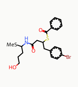 CSC(CCCO)NC(=O)CC(Cc1ccc(Br)cc1)SC(=O)c1ccccc1